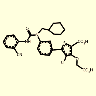 N#Cc1ccccc1NC(=O)N(CC1CCCCC1)c1cccc(-c2sc(C(=O)O)c(OCC(=O)O)c2Cl)c1